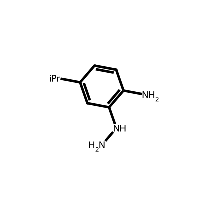 CC(C)c1ccc(N)c(NN)c1